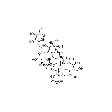 CCC(O)/C(O)=C(/O)C(O)OCC1OC(O)C(NC(C)=O)C(O)C1OC(O)/C(NC(C)=O)=C(/O)C(CCO)OC1OC(CO)C(OC(O)/C(NC(C)=O)=C(/O)C(CCO)OC2OC(CO)C(O)C(O)C2NC)C(O)C1NC(C)=O